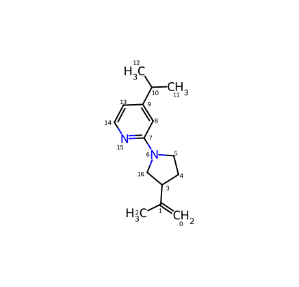 C=C(C)C1CCN(c2cc(C(C)C)ccn2)C1